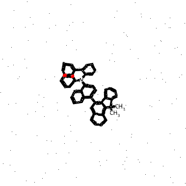 CC1(C)c2ccccc2-c2c(-c3ccc(N(c4ccccc4)c4ccccc4-c4ccccc4)c4ccccc34)cc3ccccc3c21